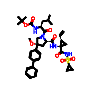 C=C[C@@H]1C[C@@]1(NC(=O)[C@@H]1C[C@@](OC)(c2ccc(-c3ccccc3)cc2)CN1C(=O)[C@H](CC(C)C)NC(=O)OC(C)(C)C)C(=O)NS(=O)(=O)C1CC1